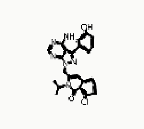 CC(C)n1c(Cn2nc(-c3cccc(O)c3)c3c(N)ncnc32)cc2cccc(Cl)c2c1=O